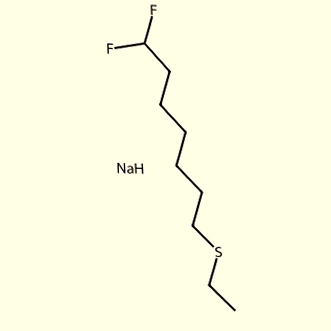 CCSCCCCCCC(F)F.[NaH]